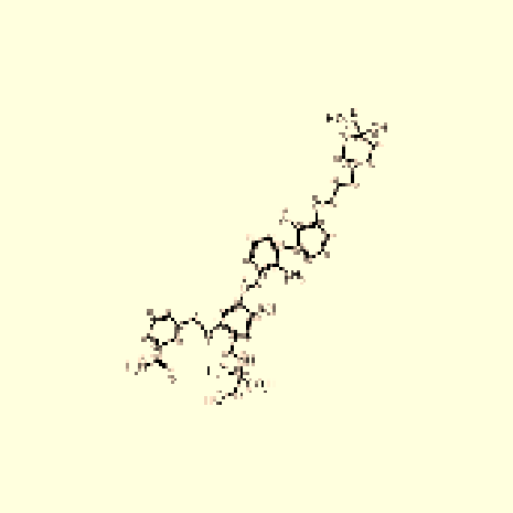 Cc1c(COc2cc(OCc3cncc(C(N)=O)c3)c(CN[C@](C)(CO)C(=O)O)cc2Cl)cccc1-c1cccc(OCCCN2CCC(O)(C(=O)O)CC2)c1C